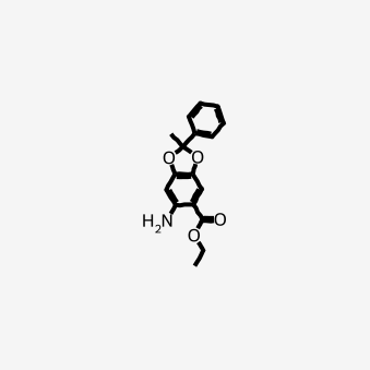 CCOC(=O)c1cc2c(cc1N)OC(C)(c1ccccc1)O2